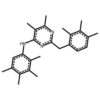 Cc1ccc(Cc2nc(C)c(C)c(Nc3cc(C)c(C)c(C)c3C)n2)c(C)c1C